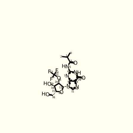 CC(C)C(=O)Nc1nc2c(ncn2[C@@H]2O[C@H](CO)[C@@H](O)[C@H]2OC(F)(F)F)c(=O)[nH]1